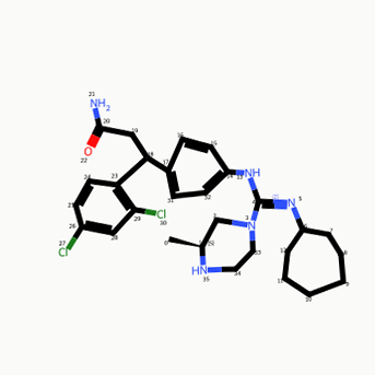 C[C@H]1CN(/C(=N\C2CCCCCC2)Nc2ccc(C(CC(N)=O)c3ccc(Cl)cc3Cl)cc2)CCN1